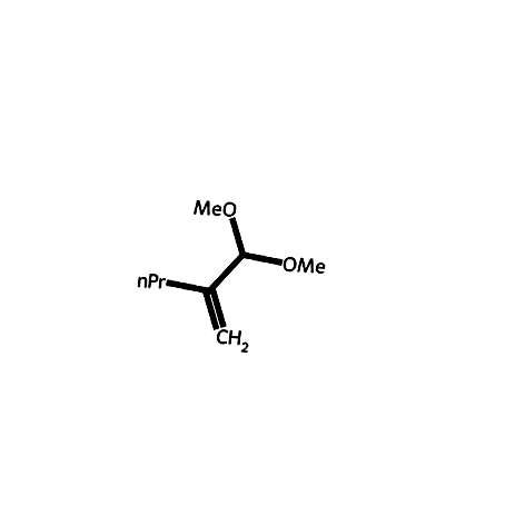 C=C(CCC)C(OC)OC